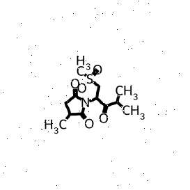 CC(C)C(=O)C(CS(C)(=O)=O)N1C(=O)CC(C)C1=O